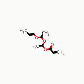 C=CC(=O)OC(C)OC(C)OC=CC